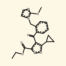 CCOC(=O)c1noc(C2CC2)c1C(=O)c1ccccc1Cn1ccnc1SC